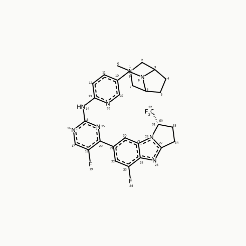 CN1CC2CCC(C1)N2Cc1ccc(Nc2ncc(F)c(-c3cc(F)c4nc5n(c4c3)[C@H](C(F)(F)F)CC5)n2)nc1